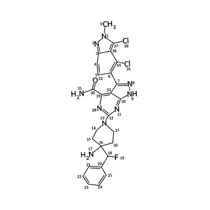 Cn1nc2ccc(-c3n[nH]c4nc(N5CCC(N)(C(F)c6ccccc6)CC5)nc(C(N)=O)c34)c(Cl)c2c1Cl